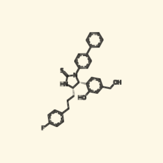 OCc1ccc([C@@H]2[C@H](CCCc3ccc(F)cc3)NC(=S)N2c2ccc(-c3ccccc3)cc2)c(O)c1